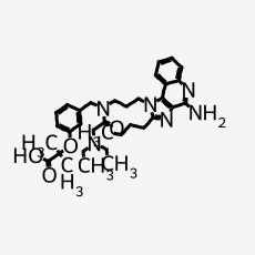 CCCCc1nc2c(N)nc3ccccc3c2n1CCCN(Cc1cccc(OC(C)(C)C(=O)O)c1)C(=O)CN(CC)CC